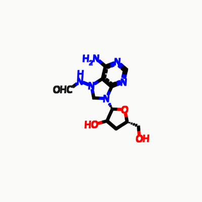 Nc1ncnc2c1N(NC=O)CN2[C@@H]1O[C@H](CO)CC1O